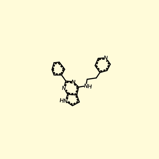 c1ccc(-c2nc(NCCc3ccncc3)c3cc[nH]c3n2)cc1